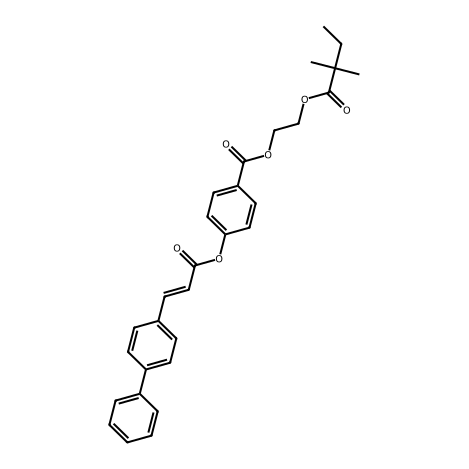 CCC(C)(C)C(=O)OCCOC(=O)c1ccc(OC(=O)/C=C/c2ccc(-c3ccccc3)cc2)cc1